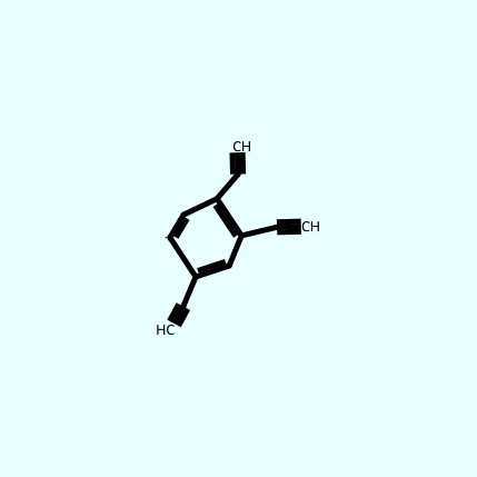 C#Cc1[c]cc(C#C)c(C#C)c1